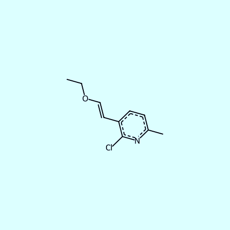 CCOC=Cc1ccc(C)nc1Cl